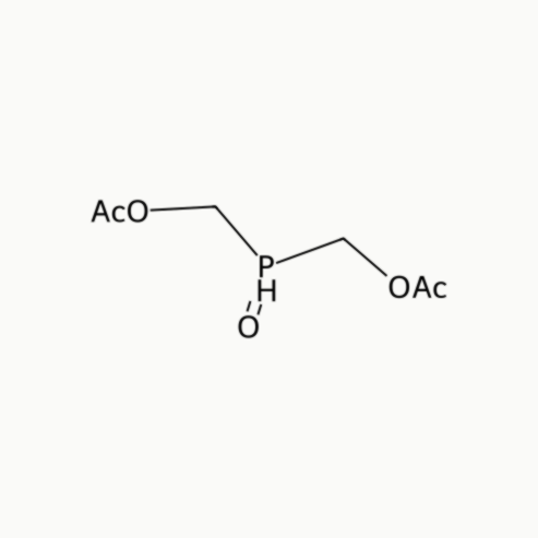 CC(=O)OC[PH](=O)COC(C)=O